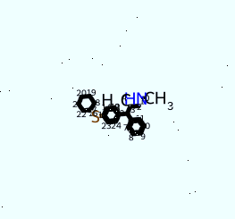 CNCC(C)C(c1ccccc1)c1ccc(SC2CCCCC2)cc1